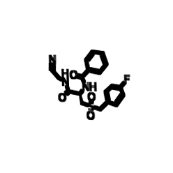 N#CCNC(=O)[C@H](CS(=O)(=O)Cc1ccc(F)cc1)NC(=O)c1ccccc1